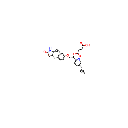 C=C1NC(=O)SC1Cc1ccc(OC[C@H](OC(=O)CCC(=O)O)c2ccc(CC)cn2)cc1